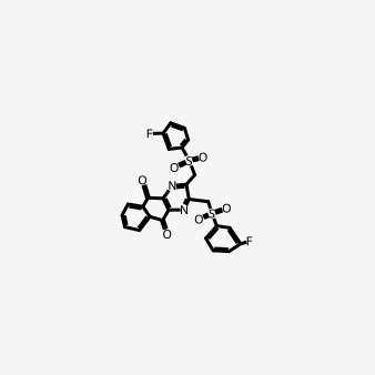 O=C1c2ccccc2C(=O)c2nc(CS(=O)(=O)c3cccc(F)c3)c(CS(=O)(=O)c3cccc(F)c3)nc21